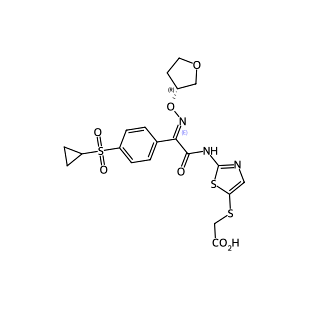 O=C(O)CSc1cnc(NC(=O)/C(=N/O[C@@H]2CCOC2)c2ccc(S(=O)(=O)C3CC3)cc2)s1